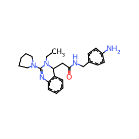 CCN1C(N2CCCCC2)=Nc2ccccc2C1CC(=O)NCc1ccc(N)cc1